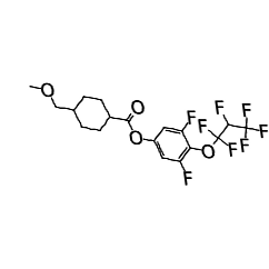 COCC1CCC(C(=O)Oc2cc(F)c(OC(F)(F)C(F)C(F)(F)F)c(F)c2)CC1